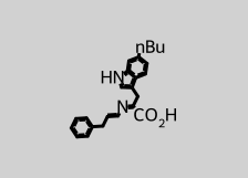 CCCCc1ccc2c(CC(=NC=CCc3ccccc3)C(=O)O)c[nH]c2c1